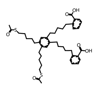 CC(=O)SCCCCCc1cc(CCCCCc2ccccc2C(=O)O)c(CCCCCc2ccccc2C(=O)O)cc1CCCCCSC(C)=O